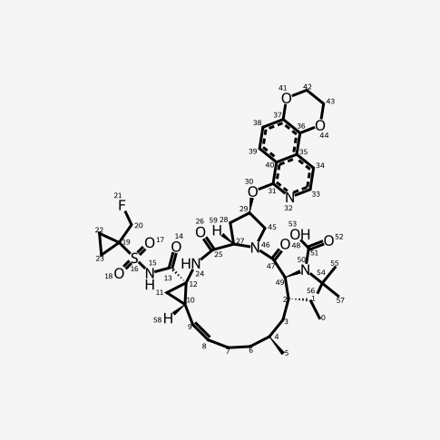 CC[C@@H]1C[C@@H](C)CC/C=C\[C@@H]2C[C@@]2(C(=O)NS(=O)(=O)C2(CF)CC2)NC(=O)[C@@H]2C[C@@H](Oc3nccc4c5c(ccc34)OCCO5)CN2C(=O)[C@H]1N(C(=O)O)C(C)(C)C